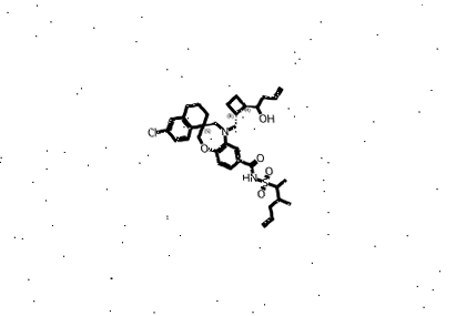 C=CCC(C)C(C)S(=O)(=O)NC(=O)c1ccc2c(c1)N(C[C@@H]1CC[C@H]1C(O)CC=C)C[C@@]1(CCCc3cc(Cl)ccc31)CO2